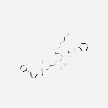 CC(=O)N[C@H]1[C@H]([C@H](O)[C@H](O)CNC(=O)c2ccc(-c3cccs3)s2)O[C@@](OCCCCCC(=O)O)(C(=O)O)C[C@@H]1NC(=O)OCc1ccccc1